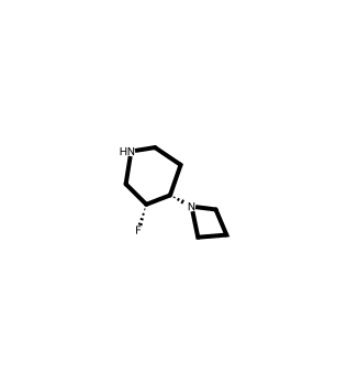 F[C@@H]1CNCC[C@@H]1N1CCC1